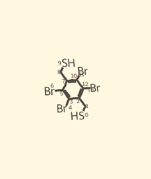 SCc1c(Br)c(Br)c(CS)c(Br)c1Br